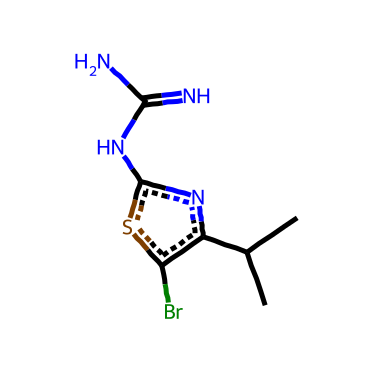 CC(C)c1nc(NC(=N)N)sc1Br